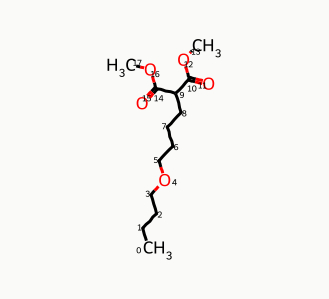 CCCCOCCCCC(C(=O)OC)C(=O)OC